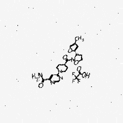 Cc1coc([C@@H]2CCON2C(=O)C2CCN(c3cc(C(N)=O)ncn3)CC2)c1.O=C(O)C(F)(F)F